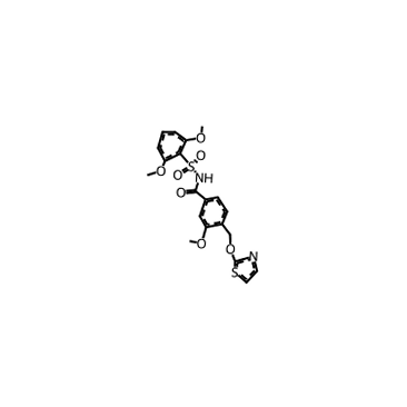 COc1cc(C(=O)NS(=O)(=O)c2c(OC)cccc2OC)ccc1COc1nccs1